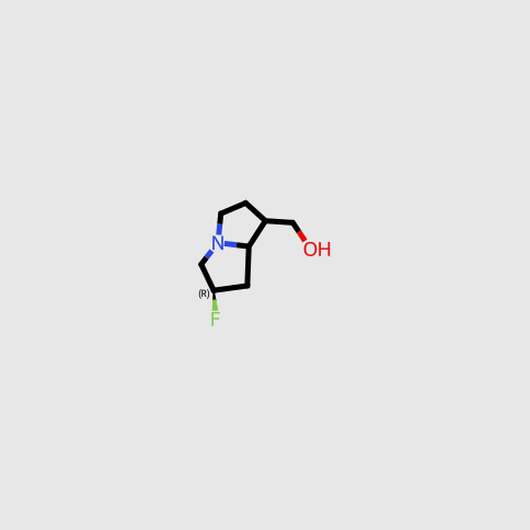 OCC1CCN2C[C@H](F)CC12